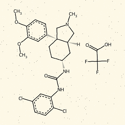 COc1ccc([C@@]23CC[C@@H](NC(=O)Nc4cc(Cl)ccc4Cl)C[C@@H]2CN(C)C3)cc1OC.O=C(O)C(F)(F)F